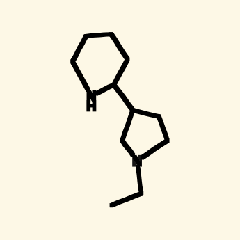 CCN1CCC(C2CCCCN2)C1